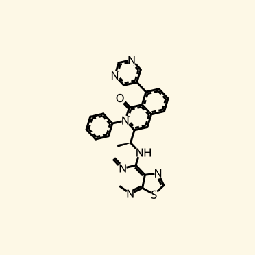 C=N/C(N[C@@H](C)c1cc2cccc(-c3cncnc3)c2c(=O)n1-c1ccccc1)=C1/N=CS/C1=N/C